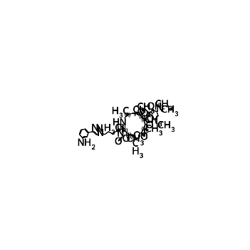 CCC1CC(N(C)C)C(O)[C@H](O[C@@H]2[C@@H](C)C(=O)[C@](C)(F)C(=O)O[C@H](CC)[C@@]3(C)OC(=O)N(CCCCn4cc(-c5cccc(N)c5)nn4)[C@@H]3[C@@H](C)NC[C@H](C)C[C@@]2(C)OC)O1